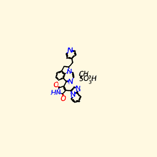 CS(=O)(=O)O.O=C1NC(=O)C(c2cnc3ccccn23)=C1C1=NC=CN2c3c(cccc31)CC2Cc1ccncc1